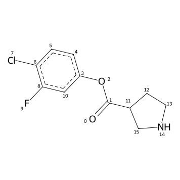 O=C(Oc1ccc(Cl)c(F)c1)C1CCNC1